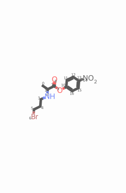 CC(NCCCBr)C(=O)Oc1ccc([N+](=O)[O-])cc1